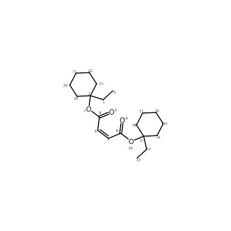 CCC1(OC(=O)/C=C\C(=O)OC2(CC)CCCCC2)CCCCC1